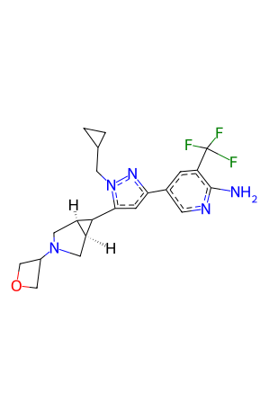 Nc1ncc(-c2cc(C3[C@H]4CN(C5COC5)C[C@@H]34)n(CC3CC3)n2)cc1C(F)(F)F